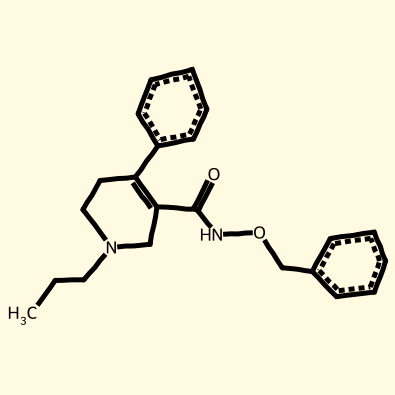 CCCN1CCC(c2ccccc2)=C(C(=O)NOCc2ccccc2)C1